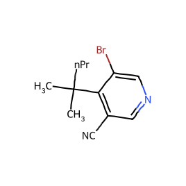 CCCC(C)(C)c1c(Br)cncc1C#N